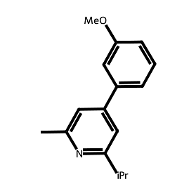 COc1cccc(-c2cc(C)nc(C(C)C)c2)c1